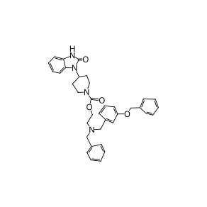 O=C(OCCN(Cc1ccccc1)Cc1cccc(OCc2ccccc2)c1)N1CCC(n2c(=O)[nH]c3ccccc32)CC1